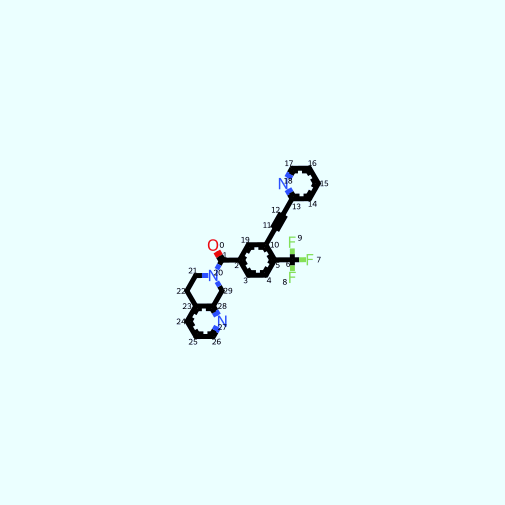 O=C(c1ccc(C(F)(F)F)c(C#Cc2ccccn2)c1)N1CCc2cccnc2C1